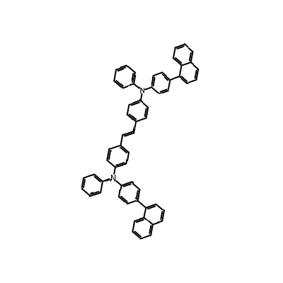 C(=C\c1ccc(N(c2ccccc2)c2ccc(-c3cccc4ccccc34)cc2)cc1)/c1ccc(N(c2ccccc2)c2ccc(-c3cccc4ccccc34)cc2)cc1